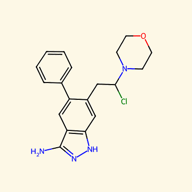 Nc1n[nH]c2cc(CC(Cl)N3CCOCC3)c(-c3ccccc3)cc12